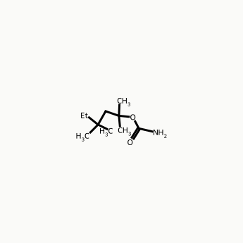 CCC(C)(C)CC(C)(C)OC(N)=O